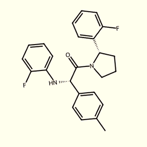 Cc1ccc([C@H](Nc2ccccc2F)C(=O)N2CCC[C@H]2c2ccccc2F)cc1